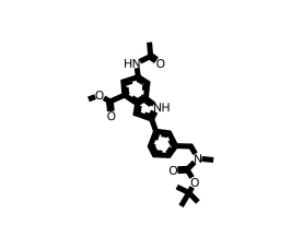 COC(=O)c1cc(NC(C)=O)cc2[nH]c(-c3cccc(CN(C)C(=O)OC(C)(C)C)c3)cc12